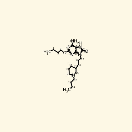 CCCCOc1nc(N)c2[nH]c(=O)n(CCCC3CCCN(CCCC)C3)c2n1